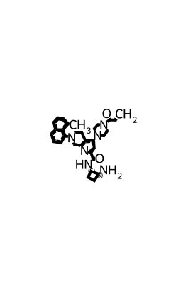 C=CC(=O)N1CCN(c2cc(C(=O)N[C@H]3CC[C@@H]3N)nc3c2CCN(c2cccc4cccc(C)c24)C3)CC1